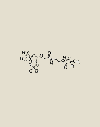 CCC(C)(C)C(=O)OCCNC(=O)COC1C2OS(=O)(=O)C3CC1C(C)(C)C23